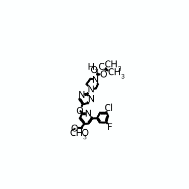 COC(=O)c1cc(Oc2cnc(N3CCN(C(=O)OC(C)(C)C)CC3)nc2)nc(-c2cc(F)cc(Cl)c2)c1